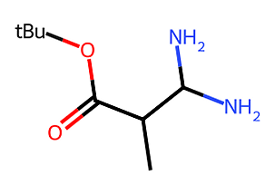 CC(C(=O)OC(C)(C)C)C(N)N